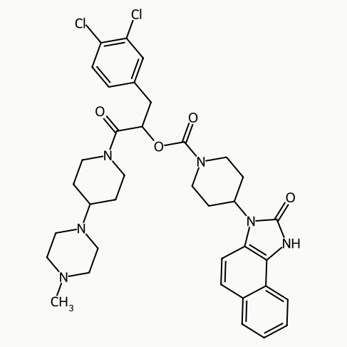 CN1CCN(C2CCN(C(=O)C(Cc3ccc(Cl)c(Cl)c3)OC(=O)N3CCC(n4c(=O)[nH]c5c6ccccc6ccc54)CC3)CC2)CC1